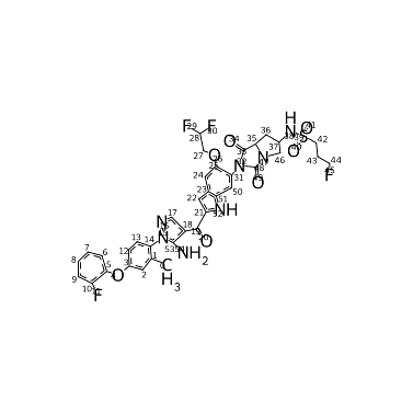 Cc1cc(Oc2ccccc2F)ccc1-n1ncc(C(=O)c2cc3cc(OCC(F)F)c(N4C(=O)C5CC(NS(=O)(=O)CCCF)CN5C4=O)cc3[nH]2)c1N